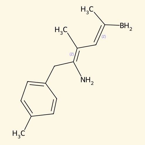 B/C(C)=C/C(C)=C(\N)Cc1ccc(C)cc1